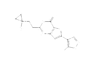 Cc1[nH]ncc1-c1cc2nc(CCC3(N)CC3)[nH]c(=O)c2s1.Cl.Cl